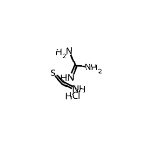 Cl.N=C(N)N.N=C=S